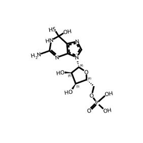 NC1=Nc2c(ncn2[C@@H]2O[C@H](COP(=O)(O)O)[C@@H](O)[C@H]2O)C(O)(S)N1